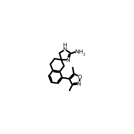 Cc1noc(C)c1-c1cccc2c1CC1(CC2)CNC(N)=N1